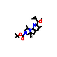 COC(c1nc2c(cc1C)C[C@@H]1CN(C(=O)OC(C)(C)C)C[C@@H](C)N21)C1CC1